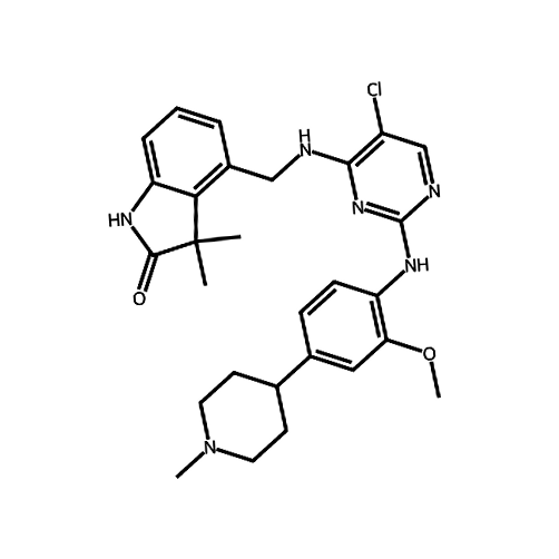 COc1cc(C2CCN(C)CC2)ccc1Nc1ncc(Cl)c(NCc2cccc3c2C(C)(C)C(=O)N3)n1